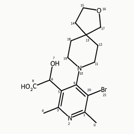 Cc1nc(C)c(C(O)C(=O)O)c(N2CCC3(CCOC3)CC2)c1Br